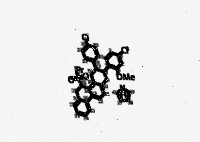 COc1cc(Cl)ccc1C1Cc2ccc3c(c2CC1c1ccc(Cl)cc1)C(S(=O)(=O)C(C)C)Cc1ccccc1-3.c1cc[nH]c1